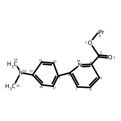 CC(C)OC(=O)c1cccc(-c2ccc(N(C)C)cc2)n1